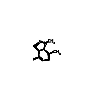 CC1=CC=C(I)C2C=NN(C)C12